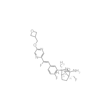 C[C@]1(c2cc(/C=C(\F)c3cnc(OCC4COC4)cn3)ccc2F)N=C(N)[C@@]2(CF)CC[C@@H]1S2(=O)=O